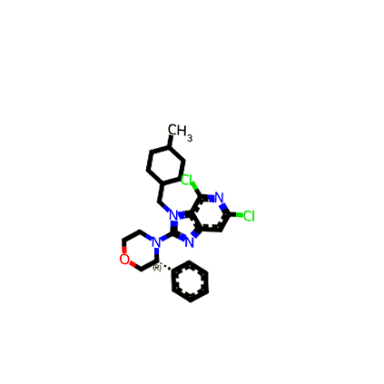 CC1CCC(Cn2c(N3CCOC[C@H]3c3ccccc3)nc3cc(Cl)nc(Cl)c32)CC1